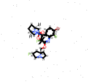 CC(C)(C)OC(=O)N1[C@@H]2CC[C@H]1CN(c1c(F)c(OC[C@@]34CCCN3C[C@H](F)C4)nc3c(F)c(Br)ccc13)C2